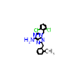 Cc1ccccc1Cc1nc2c(N)ncn(Cc3c(Cl)cccc3Cl)c-2n1